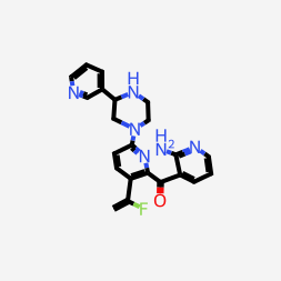 C=C(F)c1ccc(N2CCNC(c3cccnc3)C2)nc1C(=O)c1cccnc1N